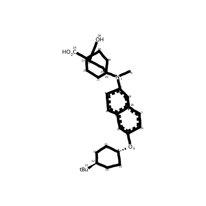 CN(c1ccc2cc(O[C@H]3CC[C@H](C(C)(C)C)CC3)ccc2c1)C12CCC(C(=O)O)(CC1)C(O)C2